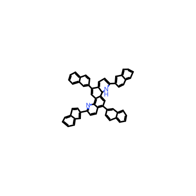 C1=C(c2ccc3ccccc3c2)NC2C(=C1)C(c1ccc3ccccc3c1)=Cc1c2cc(-c2ccc3ccccc3c2)c2ccc(-c3ccc4ccccc4c3)nc12